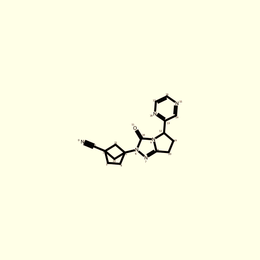 N#CC12CCC(n3nc4n(c3=O)C(c3cnccn3)CC4)(C1)C2